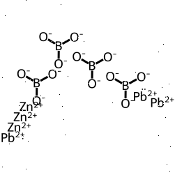 [O-]B([O-])[O-].[O-]B([O-])[O-].[O-]B([O-])[O-].[O-]B([O-])[O-].[Pb+2].[Pb+2].[Pb+2].[Zn+2].[Zn+2].[Zn+2]